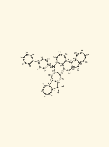 CC1(C)c2ccccc2-c2cc(N(c3ccc(-c4ccccc4)cc3)c3cccc4c3ccc3oc5ccccc5c34)ccc21